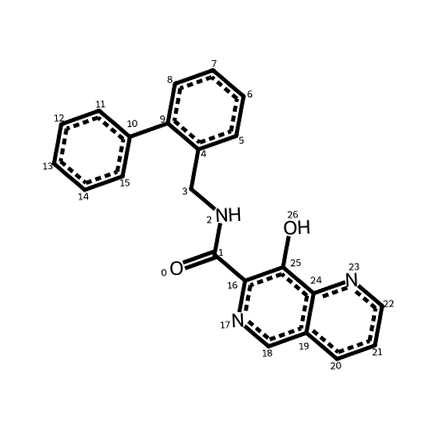 O=C(NCc1ccccc1-c1ccccc1)c1ncc2cccnc2c1O